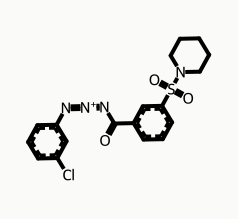 O=C(N=[N+]=Nc1cccc(Cl)c1)c1cccc(S(=O)(=O)N2CCCCC2)c1